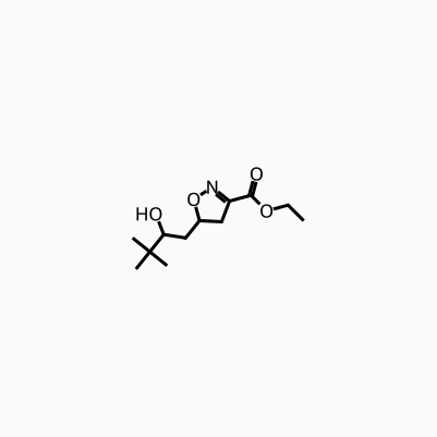 CCOC(=O)C1=NOC(CC(O)C(C)(C)C)C1